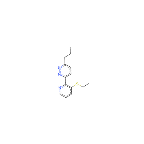 CCCc1ccc(-c2ncccc2SCC)nn1